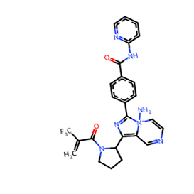 C=C(C(=O)N1CCCC1C1=C2C=NC=C[N+]2(N)C(c2ccc(C(=O)Nc3ccccn3)cc2)=N1)C(F)(F)F